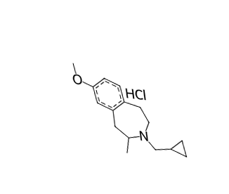 COc1ccc2c(c1)CC(C)N(CC1CC1)CC2.Cl